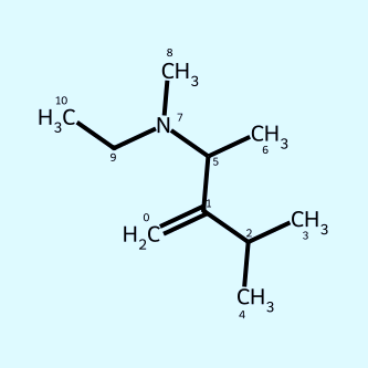 C=C(C(C)C)C(C)N(C)CC